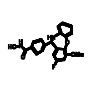 COc1cc(F)cc2c1Oc1ccccc1NC2c1ccc(C(=O)NO)cc1